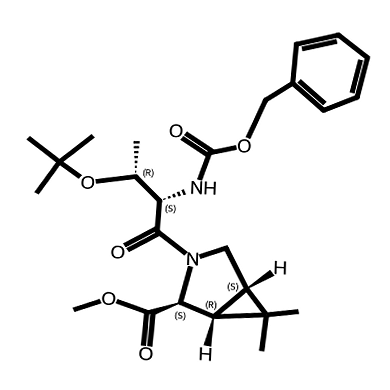 COC(=O)[C@@H]1[C@@H]2[C@H](CN1C(=O)[C@@H](NC(=O)OCc1ccccc1)[C@@H](C)OC(C)(C)C)C2(C)C